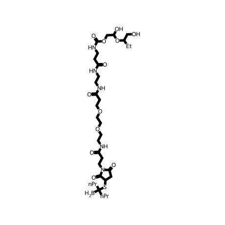 BC(CCC)(CCC)SC1CC(=O)N(CCC(=O)NCCOCCOCCC(=O)NCCNC(=O)CCNC(=O)OCC(O)OC(CC)CO)C1=O